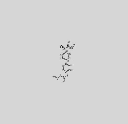 C=CCN(C)Cc1ccc(-c2ccc(C(=O)N(C)OC)cc2)cc1